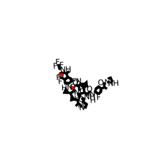 CC(C(=O)N1CCCN1)c1ccc(NC(=O)[C@@H](NC(=O)c2ccnn2C(C)CC2CC2C(C2CC2)[C@H](NC(=O)c2conc2C2CC2)C(=O)Nc2cc(C(F)(F)F)c(C(C)C(=O)NCC(F)(F)F)cc2F)C(C2CC2)C2CC2)c(F)c1